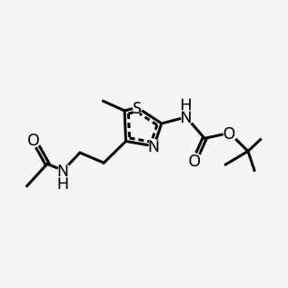 CC(=O)NCCc1nc(NC(=O)OC(C)(C)C)sc1C